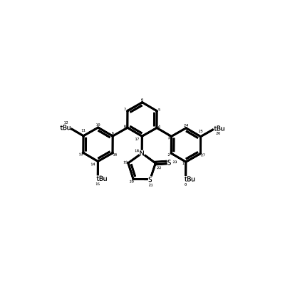 CC(C)(C)c1cc(-c2cccc(-c3cc(C(C)(C)C)cc(C(C)(C)C)c3)c2-n2ccsc2=S)cc(C(C)(C)C)c1